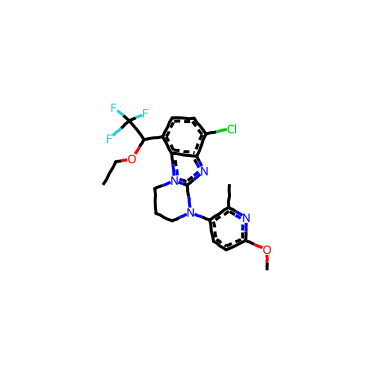 CCOC(c1ccc(Cl)c2nc3n(c12)CCCN3c1ccc(OC)nc1C)C(F)(F)F